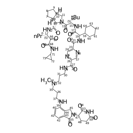 CCC[C@H](NC(=O)[C@@H]1[C@H]2CCC[C@H]2CN1C(=O)[C@@H](NC(=O)C(NC(=O)c1cnc(C(=O)NCCCN(C)CCCNc2cccc3c2CN(C2CCC(=O)NC2=O)C3=O)cn1)C1CCCCC1)C(C)(C)C)C(=O)C(=O)NC1CC1